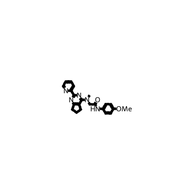 COc1ccc(NC(=O)CN(C)c2nc(-c3ccccn3)nc3c2CCC3)cc1